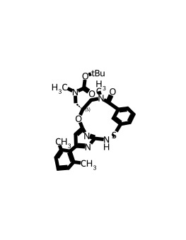 Cc1cccc(C)c1-c1cc2nc(n1)NSc1cccc(c1)C(=O)N(C)C[C@@H](CN(C)C(=O)OC(C)(C)C)O2